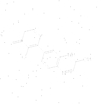 C=C1CC=CC(c2ccc3c(c2)NC(O)C=N3)=C1Cl